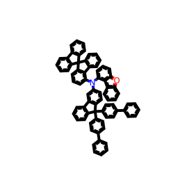 c1ccc(-c2ccc(C3(c4ccc(-c5ccccc5)cc4)c4ccccc4-c4cc(N(c5cccc6c5-c5ccccc5C65c6ccccc6-c6ccccc65)c5cccc6oc7ccccc7c56)ccc43)cc2)cc1